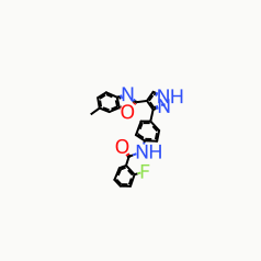 Cc1ccc2nc(-c3c[nH]nc3-c3ccc(NC(=O)c4ccccc4F)cc3)oc2c1